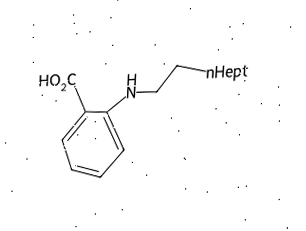 CCCCCCCCCNc1ccccc1C(=O)O